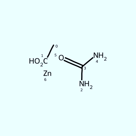 CC(=O)O.NC(N)=O.[Zn]